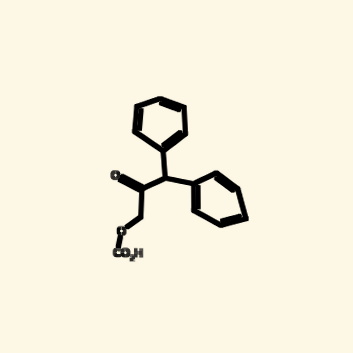 O=C(O)OCC(=O)C(c1ccccc1)c1ccccc1